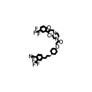 N#Cc1ccc(CCC[C@H]2CC[C@H](OCC(=O)N3CCN(Cc4oc5ccc(C(F)(F)F)cc5c4Cl)CC3)CC2)cc1C(F)(F)F